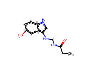 CCC(=O)NCNc1c[nH]c2ccc(O)cc12